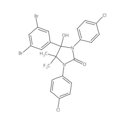 CC1(C(F)(F)F)N(c2ccc(Cl)cc2)C(=O)N(c2ccc(Cl)cc2)C1(O)c1cc(Br)cc(Br)c1